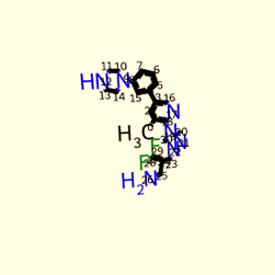 Cc1cc(-c2cccc(N3CCNCC3)c2)cnc1N1C=NN(CC(CN)=C(F)F)C1